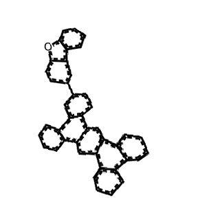 c1ccc2c(c1)oc1ccc(-c3ccc4c(c3)c3ccccc3c3cc5c6ccccc6c6ccccc6c5cc43)cc12